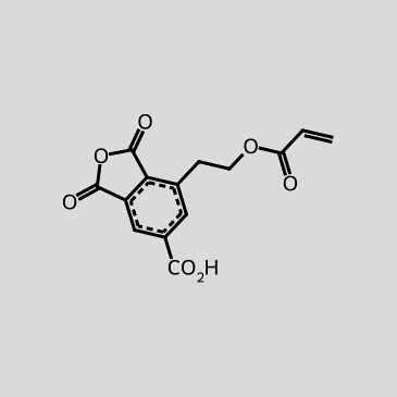 C=CC(=O)OCCc1cc(C(=O)O)cc2c1C(=O)OC2=O